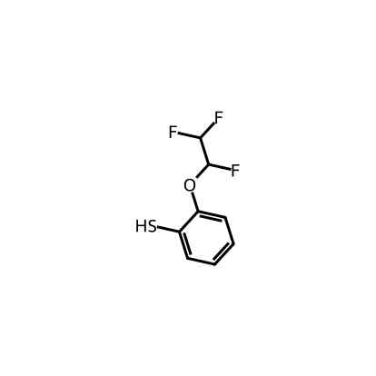 FC(F)C(F)Oc1ccccc1S